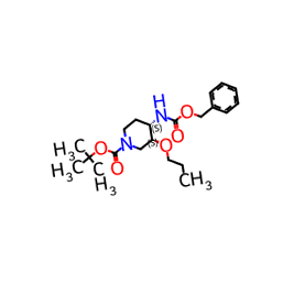 CCCO[C@H]1CN(C(=O)OC(C)(C)C)CC[C@@H]1NC(=O)OCc1ccccc1